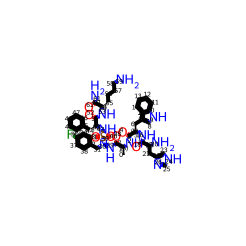 C[C@H](NC(=O)[C@@H](Cc1c[nH]c2ccccc12)NC(=O)[C@@H](N)Cc1c[nH]cn1)C(=O)NN(Cc1ccc(F)cc1)S(=O)(=O)N[C@H](Cc1ccccc1)C(=O)N[C@@H](CCCCN)C(N)=O